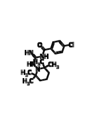 CC1(C)CCCC(C)(C)N1NC(=N)NC(=O)c1ccc(Cl)cc1